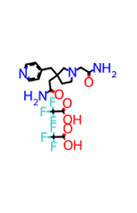 NC(=O)CN1CCC(CC(N)=O)(Cc2ccncc2)C1.O=C(O)C(F)(F)F.O=C(O)C(F)(F)F